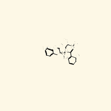 CC(=O)N1C=C(C2=CC=CCC2=O)N(N(C(C)=O)[C@@H](Cc2ccccc2)C(=O)C(=O)O)C[C@@H]1C(C)C